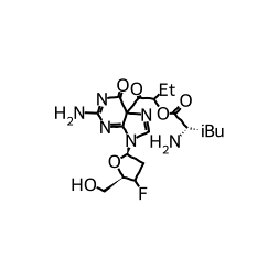 CCC(OC(=O)[C@@H](N)[C@@H](C)CC)C(=O)C12N=CN([C@H]3CC(F)[C@@H](CO)O3)C1=NC(N)=NC2=O